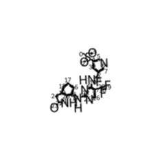 CS(=O)(=O)c1cncc(CNc2nc(Nc3cccc4c3NC(=O)C4)ncc2C(F)(F)F)c1